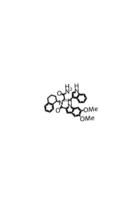 COc1cc2cc(C(=O)N(C3CCCc4ccccc43)[C@@H](Cc3c[nH]c4ccccc34)C(N)=O)[nH]c2cc1OC